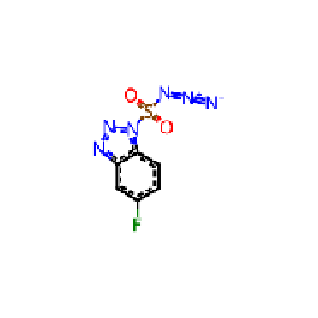 [N-]=[N+]=NS(=O)(=O)n1nnc2cc(F)ccc21